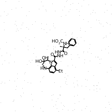 CCc1ccc2c3c1cc(C(=O)NNC(=O)[C@@](C)(Cc1ccccc1)NC(=O)O)n3C(C)C(O)(O)SN2